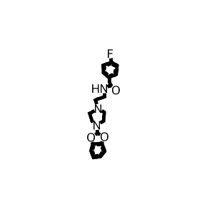 O=C(NCCN1CCN(C2Oc3ccccc3O2)CC1)c1ccc(F)cc1